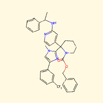 CC(Nc1cc(C2(c3nc(-c4cccc(C(F)(F)F)c4)cn3C)CCCCN2C(=O)OCc2ccccc2)ccn1)c1ccccc1